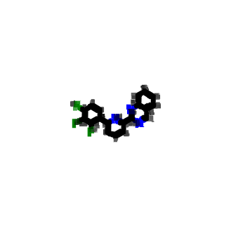 Fc1ccc(-c2cccc(-c3ncc4ccccc4n3)n2)c(F)c1F